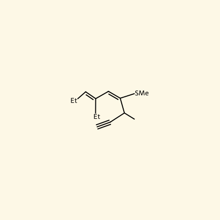 C#CC(C)/C(=C\C(=C\CC)CC)SC